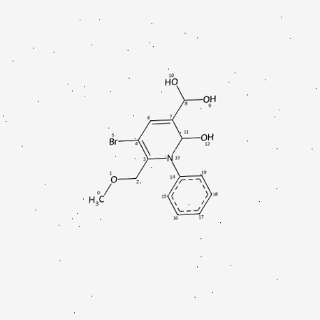 COCC1=C(Br)C=C(C(O)O)C(O)N1c1ccccc1